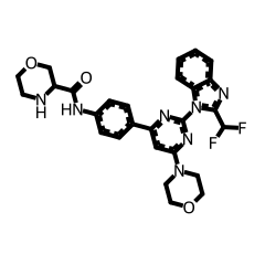 O=C(Nc1ccc(-c2cc(N3CCOCC3)nc(-n3c(C(F)F)nc4ccccc43)n2)cc1)C1COCCN1